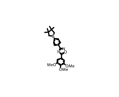 COc1cc(-c2nc(-c3ccc(B4CC(C)(C)C(C)(C)C4)cc3)no2)cc(OC)c1OC